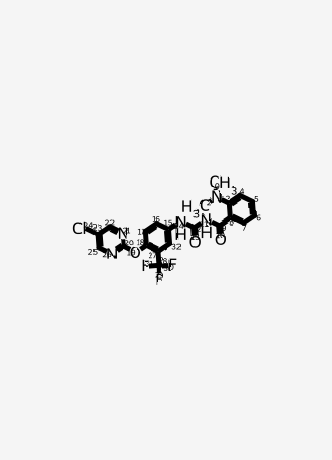 CN(C)c1ccccc1C(=O)NC(=O)Nc1ccc(Oc2ncc(Cl)cn2)c(C(F)(F)F)c1